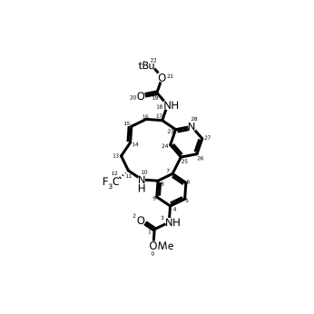 COC(=O)Nc1ccc2c(c1)N[C@H](C(F)(F)F)C/C=C/CC(NC(=O)OC(C)(C)C)c1cc-2ccn1